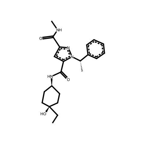 CC[C@]1(O)CC[C@@H](NC(=O)c2cc(C(=O)NC)nn2[C@@H](C)c2ccccc2)CC1